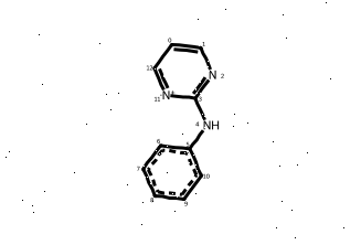 C1=CN=C(Nc2ccccc2)[N+]=C1